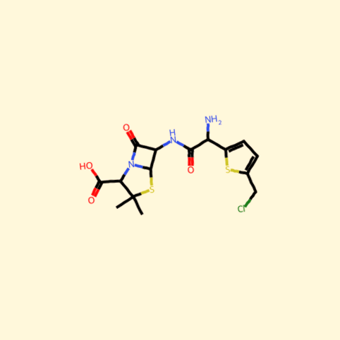 CC1(C)SC2C(NC(=O)C(N)c3ccc(CCl)s3)C(=O)N2C1C(=O)O